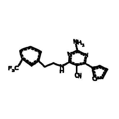 N#Cc1c(NCCc2cccc(C(F)(F)F)c2)nc(N)nc1-c1ccco1